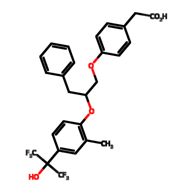 Cc1cc(C(O)(C(F)(F)F)C(F)(F)F)ccc1OC(COc1ccc(CC(=O)O)cc1)Cc1ccccc1